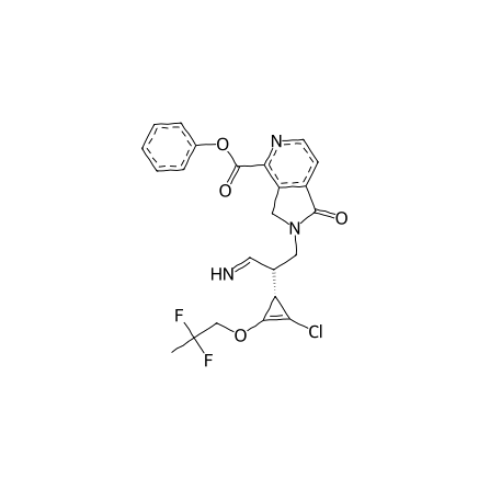 CC(F)(F)COC1=C(Cl)[C@H]1C(C=N)CN1Cc2c(ccnc2C(=O)Oc2ccccc2)C1=O